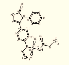 C=CC(c1ccc(C2=COC(=O)C2c2ccccc2)cc1)S(=O)(=O)NC(=O)CC